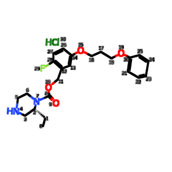 CC[C@@H]1CNCCN1C(=O)OCc1cc(OCCCOc2ccccc2)ccc1F.Cl